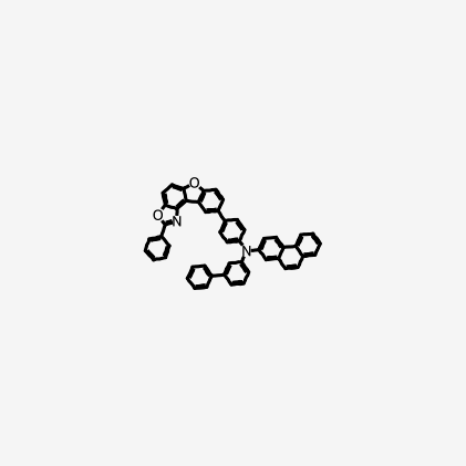 c1ccc(-c2cccc(N(c3ccc(-c4ccc5oc6ccc7oc(-c8ccccc8)nc7c6c5c4)cc3)c3ccc4c(ccc5ccccc54)c3)c2)cc1